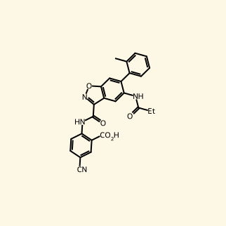 CCC(=O)Nc1cc2c(C(=O)Nc3ccc(C#N)cc3C(=O)O)noc2cc1-c1ccccc1C